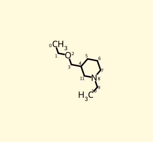 CCOCC1CCCN(CC)C1